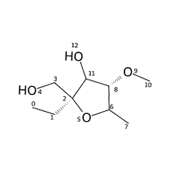 CC[C@@]1(CO)OC(C)[C@@H](OC)C1O